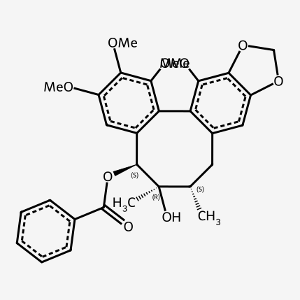 COc1cc2c(c(OC)c1OC)-c1c(cc3c(c1OC)OCO3)C[C@H](C)[C@@](C)(O)[C@H]2OC(=O)c1ccccc1